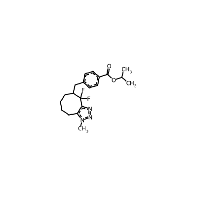 CC(C)OC(=O)c1ccc(CC2CCCCc3c(nnn3C)C2(F)F)cc1